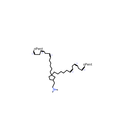 CCCCC/C=C\C/C=C\C/C=C\CCCCCC1(CCCCC/C=C\C/C=C\C/C=C\CCCCC)CCC(CCN(C)C)C1